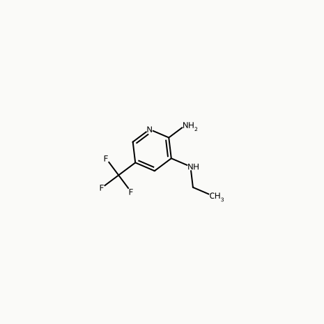 CCNc1cc(C(F)(F)F)cnc1N